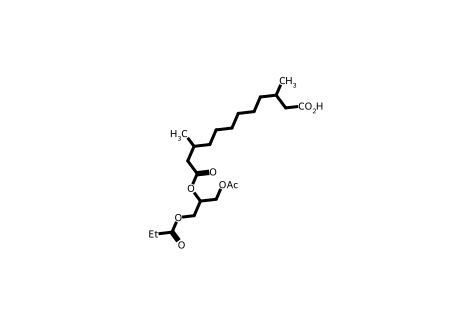 CCC(=O)OCC(COC(C)=O)OC(=O)CC(C)CCCCCCC(C)CC(=O)O